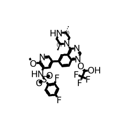 COc1ncc(-c2ccc3ncnc(N4C[C@@H](C)NC[C@@H]4C)c3c2)cc1NS(=O)(=O)c1ccc(F)cc1F.O=C(O)C(F)(F)F